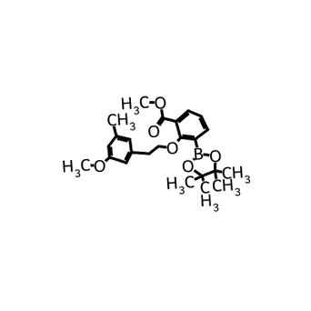 COC(=O)c1cccc(B2OC(C)(C)C(C)(C)O2)c1OCCc1cc(C)cc(OC)c1